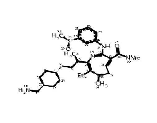 CC/C1=C(C(C)CC[C@H]2CC[C@H](CN)CC2)/N=C(Nc2cccc([S+](C)[O-])c2)\C(C(=O)NC)=C\CC1C